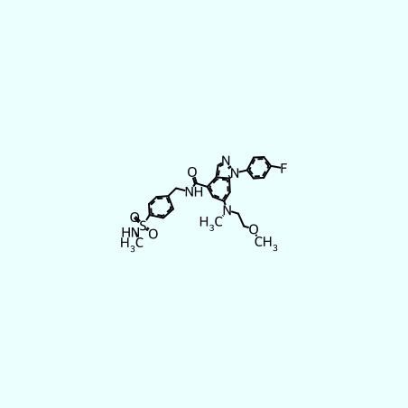 CNS(=O)(=O)c1ccc(CNC(=O)c2cc(N(C)CCOC)cc3c2cnn3-c2ccc(F)cc2)cc1